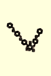 O=C(N[C@@H](Cc1ccc(OCc2ccccc2)cc1)C(=O)O)c1ccc(OCc2ccc(OCc3ccccc3)cc2)cc1